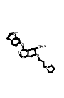 COc1cc2c(Oc3ccc4cc[nH]c4c3)ncnc2cc1OCCCN1CCCC1